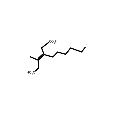 C/C(CC(=O)O)=C(/CCCCCCl)CC(=O)O